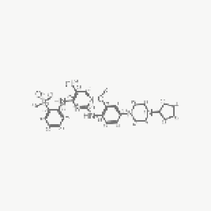 COc1cc(N2CCN(C3CCCC3)CC2)ccc1Nc1ncc(Cl)c(Nc2ccccc2P(C)(C)=O)n1